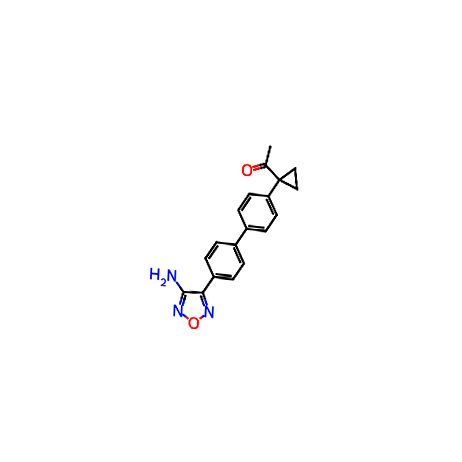 CC(=O)C1(c2ccc(-c3ccc(-c4nonc4N)cc3)cc2)CC1